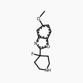 COc1ccc2oc(C3(F)CCNCC3)nc2c1